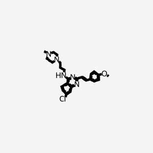 COc1ccc(C=Cc2nc(NCCCN3CCN(C)CC3)c3ccc(Cl)cc3n2)cc1